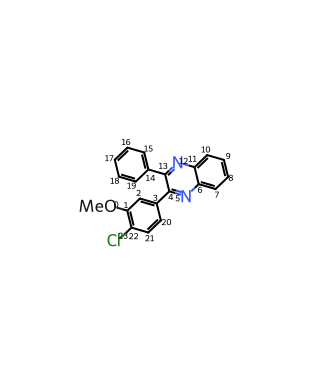 COc1cc(-c2nc3ccccc3nc2-c2ccccc2)ccc1Cl